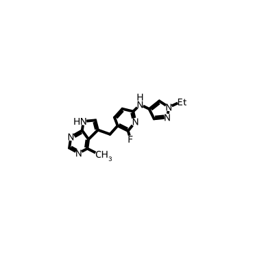 CCn1cc(Nc2ccc(Cc3c[nH]c4ncnc(C)c34)c(F)n2)cn1